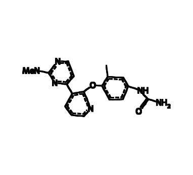 CNc1nccc(-c2cccnc2Oc2ccc(NC(N)=O)cc2C)n1